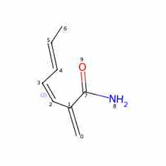 C=C(/C=C\C=CC)C(N)=O